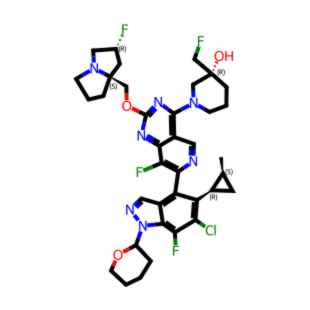 C[C@H]1C[C@H]1c1c(Cl)c(F)c2c(cnn2C2CCCCO2)c1-c1ncc2c(N3CCC[C@](O)(CF)C3)nc(OC[C@@]34CCCN3C[C@H](F)C4)nc2c1F